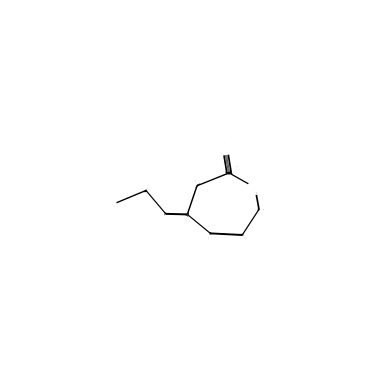 CCCC1CCCOC(=O)C1